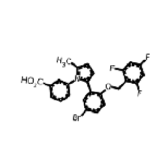 Cc1ccc(-c2cc(Br)ccc2OCc2c(F)cc(F)cc2F)n1-c1cccc(C(=O)O)c1